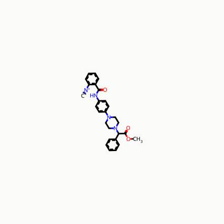 [C-]#[N+]c1ccccc1C(=O)Nc1ccc(N2CCN(C(C(=O)OC)c3ccccc3)CC2)cc1